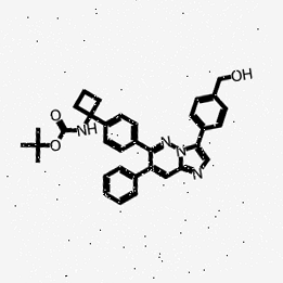 CC(C)(C)OC(=O)NC1(c2ccc(-c3nn4c(-c5ccc(CO)cc5)cnc4cc3-c3ccccc3)cc2)CCC1